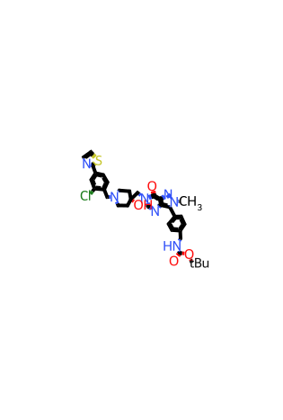 Cn1nc2c(=O)n(CC3(O)CCN(Cc4ccc(-c5nccs5)cc4Cl)CC3)cnc2c1-c1ccc(CNC(=O)OC(C)(C)C)cc1